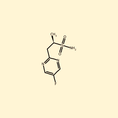 C[C@H](Cc1ncc(F)cn1)S(N)(=O)=O